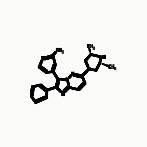 Cc1cc(-c2c(-c3ccccc3)nc3ccc(N4C[C@@H](C)N[C@@H](C)C4)nn23)ccn1